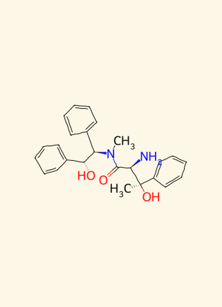 CN(C(=O)[C@@H](N)[C@](C)(O)c1ccccc1)[C@H](c1ccccc1)[C@H](O)c1ccccc1